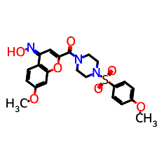 COc1ccc(S(=O)(=O)N2CCN(C(=O)c3c/c(=N/O)c4ccc(OC)cc4o3)CC2)cc1